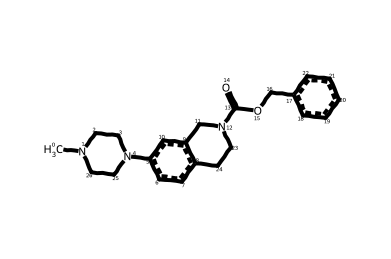 CN1CCN(c2ccc3c(c2)CN(C(=O)OCc2ccccc2)CC3)CC1